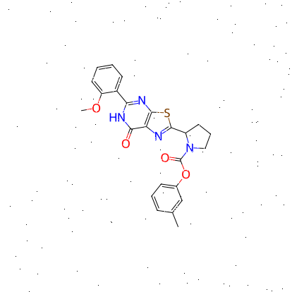 COc1ccccc1-c1nc2sc(C3CCCN3C(=O)Oc3cccc(C)c3)nc2c(=O)[nH]1